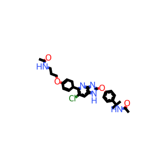 CC(=O)NCCCOC1=CCC(c2nc3nc(Oc4ccc(C(C)(C)NC(C)=O)cc4)[nH]c3cc2Cl)C=C1